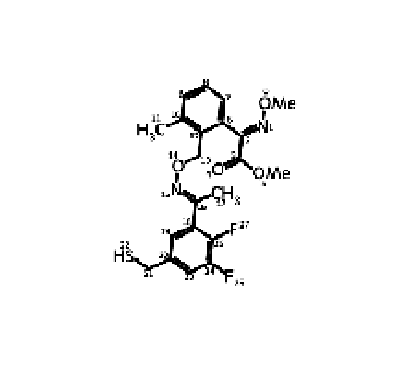 CO/N=C(/C(=O)OC)c1cccc(C)c1CO/N=C(\C)c1cc(CS)cc(F)c1F